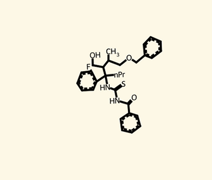 CCCC(NC(=S)NC(=O)c1ccccc1)(c1ccccc1F)C(CO)C(C)COCc1ccccc1